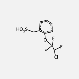 O=S(=O)(O)Cc1ccccc1OC(F)(F)C(F)Cl